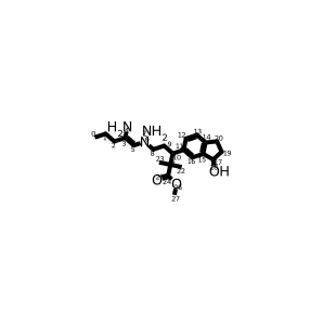 CCC/C(N)=C/N(N)CCC(c1ccc2c(c1)C(O)CC2)C(C)(C)C(=O)OC